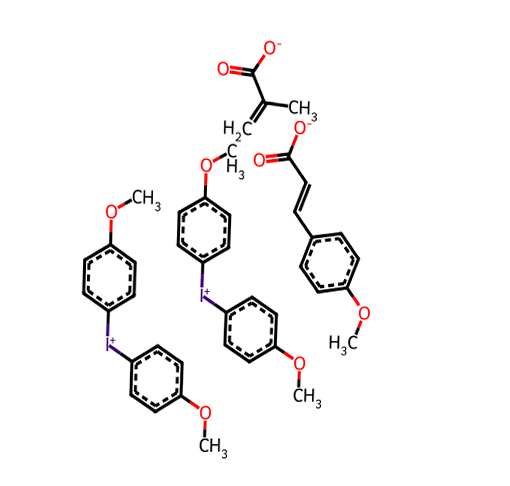 C=C(C)C(=O)[O-].COc1ccc(C=CC(=O)[O-])cc1.COc1ccc([I+]c2ccc(OC)cc2)cc1.COc1ccc([I+]c2ccc(OC)cc2)cc1